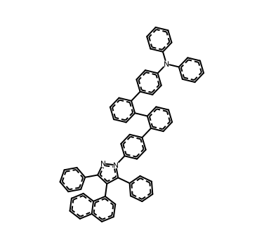 c1ccc(-c2nn(-c3ccc(-c4ccccc4-c4ccccc4-c4ccc(N(c5ccccc5)c5ccccc5)cc4)cc3)c(-c3ccccc3)c2-c2cccc3ccccc23)cc1